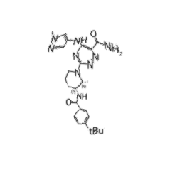 C[C@@H]1[C@H](NC(=O)c2ccc(C(C)(C)C)cc2)CCCN1c1nnc(C(N)=O)c(Nc2cnn(C)c2)n1